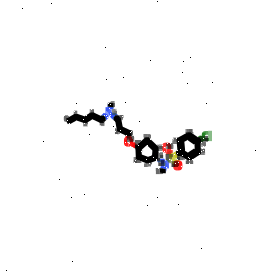 CCCCCN(C)CCCO[C@H]1CC[C@H](N(C)S(=O)(=O)c2ccc(Cl)cc2)CC1